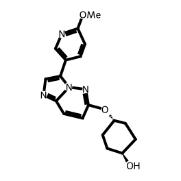 COc1ccc(-c2cnc3ccc(O[C@H]4CC[C@H](O)CC4)nn23)cn1